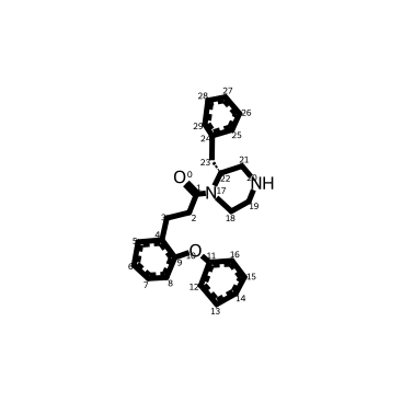 O=C(CCc1ccccc1Oc1ccccc1)N1CCNC[C@H]1Cc1ccccc1